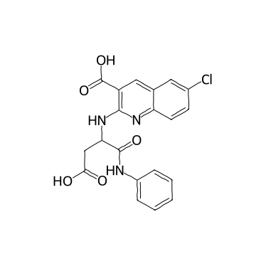 O=C(O)CC(Nc1nc2ccc(Cl)cc2cc1C(=O)O)C(=O)Nc1ccccc1